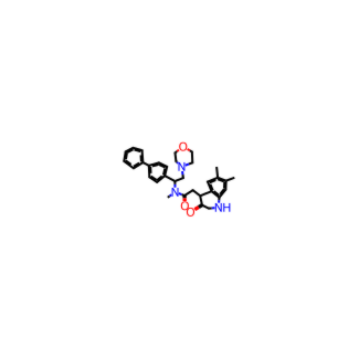 Cc1cc2c(cc1C)C(CC(=O)N(C)C(CN1CCOCC1)c1ccc(-c3ccccc3)cc1)C(=O)CN2